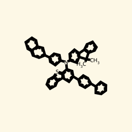 CC1(C)c2ccccc2-c2ccc(N(c3ccc(-c4ccc5ccccc5c4)cc3)c3cc(-c4ccc(-c5ccccc5)cc4)cc4c3sc3ccccc34)cc21